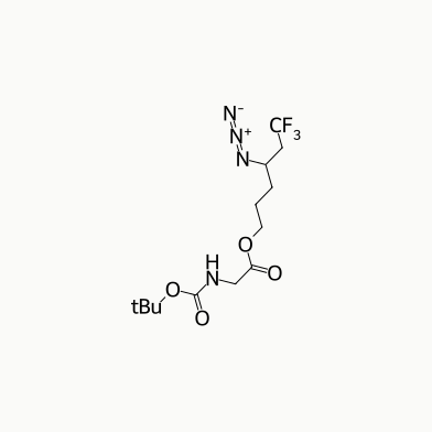 CC(C)(C)OC(=O)NCC(=O)OCCCC(CC(F)(F)F)N=[N+]=[N-]